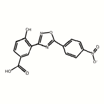 O=C(O)c1ccc(O)c(-c2noc(-c3ccc([N+](=O)[O-])cc3)n2)c1